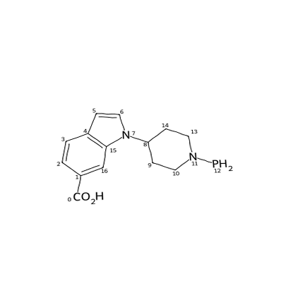 O=C(O)c1ccc2ccn(C3CCN(P)CC3)c2c1